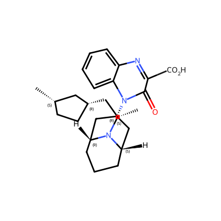 C[C@H]1CC[C@@H](C[C@H](C)N2[C@@H]3CCC[C@H]2C[C@@H](n2c(=O)c(C(=O)O)nc4ccccc42)C3)C1